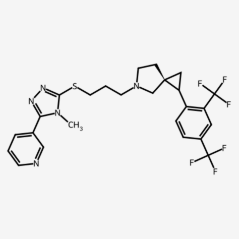 Cn1c(SCCCN2CC[C@]3(CC3c3ccc(C(F)(F)F)cc3C(F)(F)F)C2)nnc1-c1cccnc1